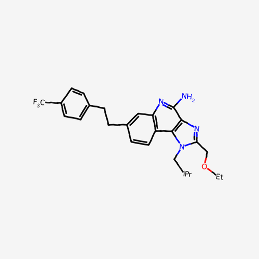 CCOCc1nc2c(N)nc3cc(CCc4ccc(C(F)(F)F)cc4)ccc3c2n1CC(C)C